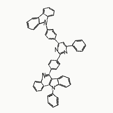 c1ccc(-c2cc(-c3ccc(-n4c5ccccc5c5ccccc54)cc3)nc(-c3ccc(-c4nc5ccccc5c5c4c4ccccc4n5-c4ccccc4)cc3)n2)cc1